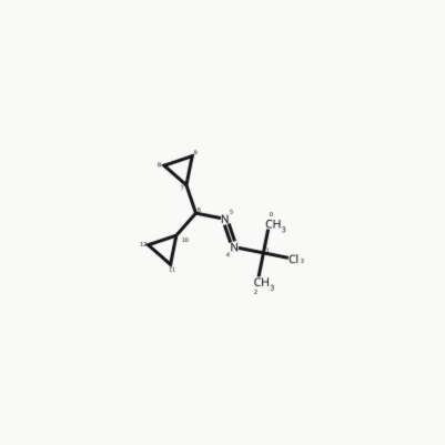 CC(C)(Cl)/N=N/C(C1CC1)C1CC1